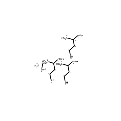 CCCCCCC(CCS)C(=O)O.CCCCCCC(CCS)C(=O)O.CCCCCCC(CCS)C(=O)O.CCC[CH2][SnH].S